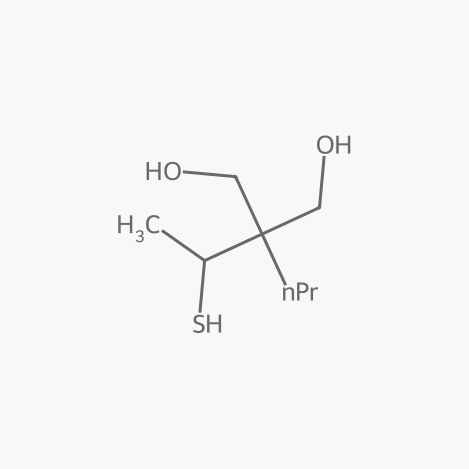 CCCC(CO)(CO)C(C)S